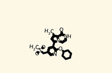 Cc1cc(-c2cc(CS(C)(=O)=O)cnc2OC2CCCCC2)n2cc[nH]c(=O)c12